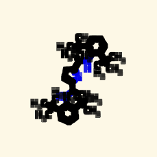 CC(Nc1c(C(C)(C)C)cccc1C(C)(C)C)C1=CCC(C(C)Nc2c(C(C)(C)C)cccc2C(C)(C)C)=N1